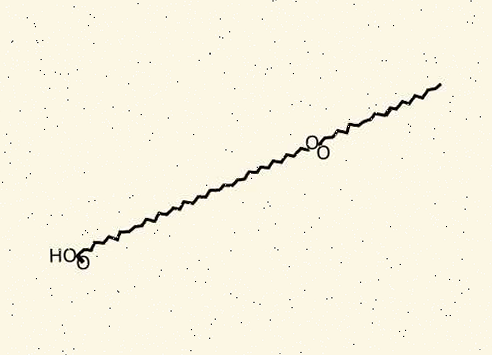 CCCCCCCCC=CCCCCCCCCCC(=O)OCCCCCCCCCCCCCCCCCCCCCCCCCCCCCCCCCCCCC(=O)O